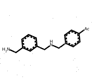 CC(=O)c1ccc(CNCc2cccc(CN)c2)cc1